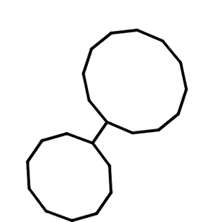 C1CCCCC[C](C2CCCCCCCCC2)CCCCC1